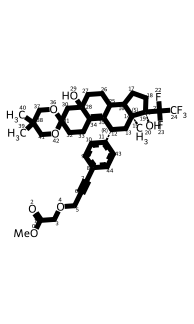 COC(=O)COCC#Cc1ccc([C@H]2C[C@@]3(C)C(CC[C@@]3(O)C(F)(F)C(F)(F)F)C3CCC4(O)CC5(CCC4=C32)OCC(C)(C)CO5)cc1